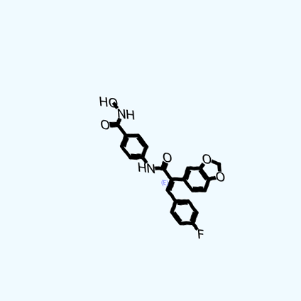 O=C(Nc1ccc(C(=O)NO)cc1)/C(=C/c1ccc(F)cc1)c1ccc2c(c1)OCO2